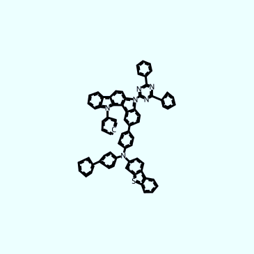 c1ccc(-c2ccc(N(c3ccc(-c4ccc5c(c4)c4c(ccc6c7ccccc7n(-c7ccccc7)c64)n5-c4nc(-c5ccccc5)nc(-c5ccccc5)n4)cc3)c3ccc4c(c3)sc3ccccc34)cc2)cc1